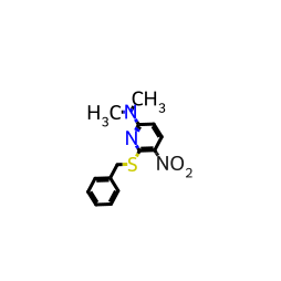 CN(C)c1ccc([N+](=O)[O-])c(SCc2ccccc2)n1